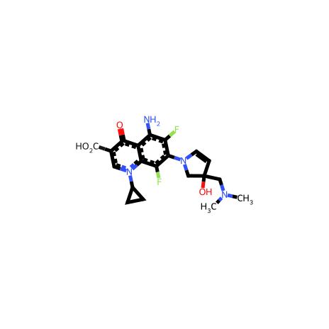 CN(C)CC1(O)C=CN(c2c(F)c(N)c3c(=O)c(C(=O)O)cn(C4CC4)c3c2F)C1